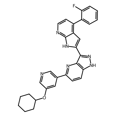 Fc1ccccc1-c1ccnc2[nH]c(-c3n[nH]c4ccc(-c5cncc(OC6CCCCC6)c5)nc34)cc12